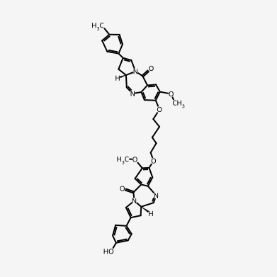 COc1cc2c(cc1OCCCCCOc1cc3c(cc1OC)C(=O)N1C=C(c4ccc(O)cc4)C[C@H]1C=N3)N=C[C@@H]1CC(c3ccc(C)cc3)=CN1C2=O